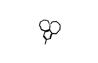 Cc1cc2c3c(c1)CCCCCN3CCCCC2